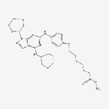 COC(=O)CCCCCCOc1ccc(Nc2nc(NC3CCCCC3)c3cnn(C4CCCCO4)c3n2)cc1